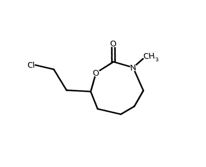 CN1CCCCC(CCCl)OC1=O